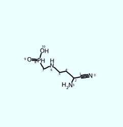 N#CC(N)CCNC[PH](=O)O